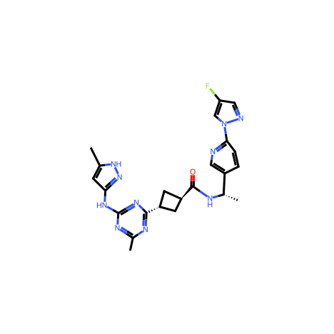 Cc1nc(Nc2cc(C)[nH]n2)nc([C@H]2C[C@H](C(=O)N[C@@H](C)c3ccc(-n4cc(F)cn4)nc3)C2)n1